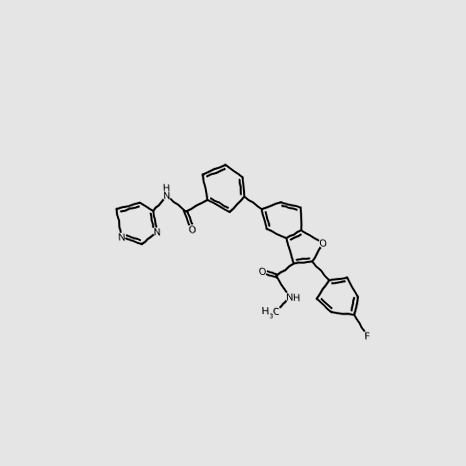 CNC(=O)c1c(-c2ccc(F)cc2)oc2ccc(-c3cccc(C(=O)Nc4ccncn4)c3)cc12